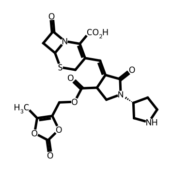 Cc1oc(=O)oc1COC(=O)C1CN([C@@H]2CCNC2)C(=O)/C1=C/C1=C(C(=O)O)N2C(=O)CC2SC1